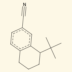 CC(C)(C)C1CCCc2ccc(C#N)cc21